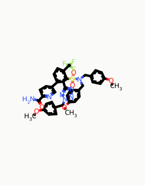 COc1ccc(CN(Cc2ccc(OC)cc2)S(=O)(=O)c2c(C(F)(F)F)ccc(-c3ccc(C(N)=O)nc3)c2-c2nnn(Cc3ccc(OC)cc3)n2)cc1